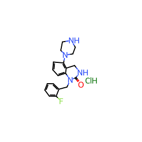 Cl.O=C1NCc2c(N3CCNCC3)cccc2N1Cc1ccccc1F